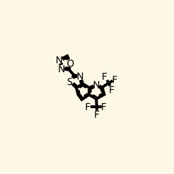 FC(F)(F)c1cc(C(F)(F)F)c2ccc3sc(-c4nnco4)nc3c2n1